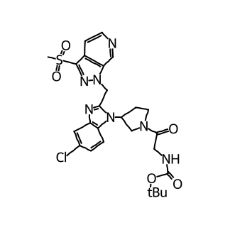 CC(C)(C)OC(=O)NCC(=O)N1CCC(n2c(Cn3nc(S(C)(=O)=O)c4ccncc43)nc3cc(Cl)ccc32)C1